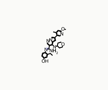 CCc1cc(O)ccc1/N=C(\N)c1cnn2cc(-c3cnc(OC)cc3C)cc2c1NC1CCOCC1